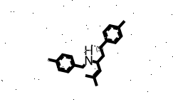 CC(C)=CC(C[C@H](C)c1ccc(C)cc1)NCc1ccc(C)cc1